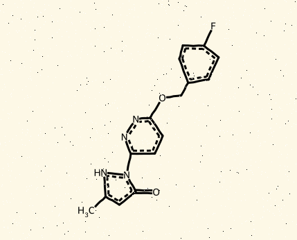 Cc1cc(=O)n(-c2ccc(OCc3ccc(F)cc3)nn2)[nH]1